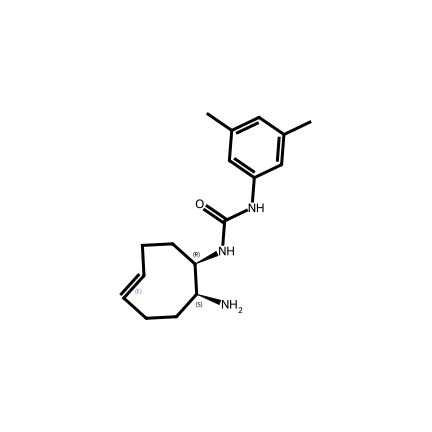 Cc1cc(C)cc(NC(=O)N[C@@H]2CC/C=C/CC[C@@H]2N)c1